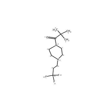 CC(C)(C)C(=O)N1CCN(CCC(F)(F)F)CC1